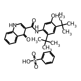 CC(C)(C)c1cc(C(C)(C)C)c(NC(=O)c2c[nH]c3ccccc3c2=O)cc1O.O=S(=O)(O)c1ccccc1